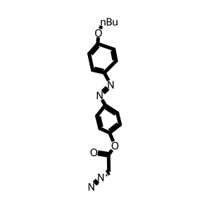 CCCCOc1ccc(/N=N/c2ccc(OC(=O)C=[N+]=[N-])cc2)cc1